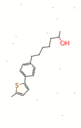 Cc1ccc(-c2ccc(CCCCCC(C)O)cc2)s1